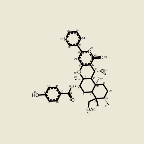 CC(=O)OCC1(C)C2C[C@H](OC(=O)c3ccc(O)cc3)[C@@]3(C)Oc4cc(-c5cccnc5)oc(=O)c4[C@H](O)C3[C@@]2(C)CC[C@@H]1C